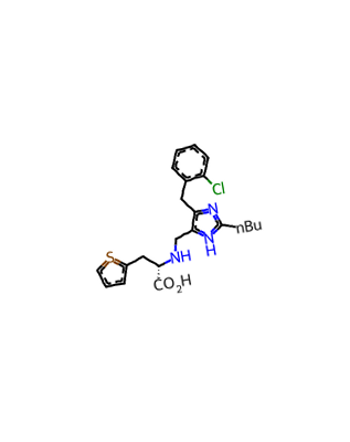 CCCCc1nc(Cc2ccccc2Cl)c(CN[C@@H](Cc2cccs2)C(=O)O)[nH]1